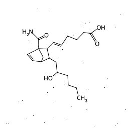 CCCCC(O)CC1C2C=CC(C(N)=O)(C2)C1C=CCCCC(=O)O